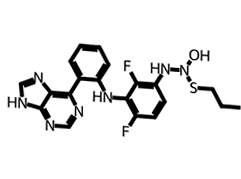 CCCSN(O)Nc1ccc(F)c(Nc2ccccc2-c2ncnc3[nH]cnc23)c1F